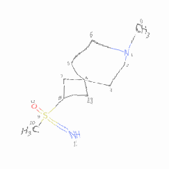 CN1CCC2(CC1)CC(S(C)(=N)=O)C2